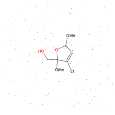 CCC1=CC(OC)OC1(CO)OC